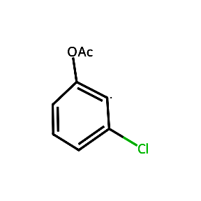 CC(=O)Oc1[c]c(Cl)ccc1